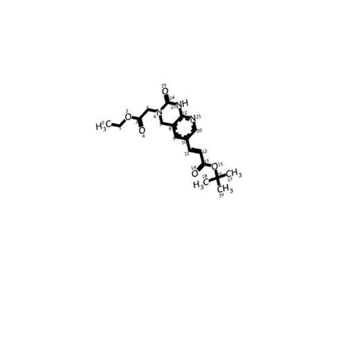 CCOC(=O)CN1Cc2cc(/C=C/C(=O)OC(C)(C)C)cnc2NC1=O